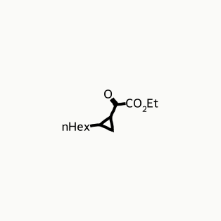 CCCCCCC1CC1C(=O)C(=O)OCC